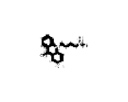 CCN(CC)CCCC[n+]1c2ccccc2c(Cl)c2ccccc21.[Cl-]